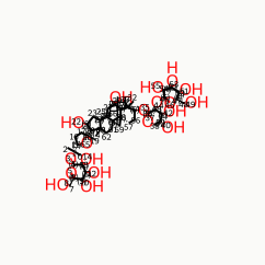 CC(C)(O[C@@H]1O[C@H](CO)[C@@H](O)[C@H](O)[C@H]1O)[C@@H]1CC[C@](C)([C@H]2[C@@H](O)C[C@@]3(C)[C@@H]4C[C@H](O)[C@H]5C(C)(C)[C@@H](O[C@@H]6OC[C@@H](O)[C@H](O)[C@H]6O[C@@H]6O[C@H](CO)[C@@H](O)[C@H](O)[C@H]6O)CC[C@@]56C[C@@]46CC[C@]23C)O1